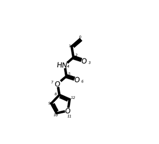 C=CC(=O)NC(=O)Oc1ccoc1